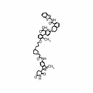 Cc1c(OCCC[C@@H]2CCCN(CC(=O)Nc3ccc4c(C5CCC(=O)NC5=O)nn(C)c4c3)C2)cccc1-c1ccc(N2CCc3cccc(C(=O)Nc4nc5ccccc5s4)c3C2)nc1C(=O)O